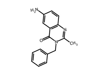 Cc1nc2ccc(N)cc2c(=O)n1Cc1ccccc1